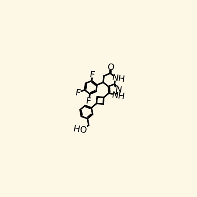 O=C1CC(c2cc(F)c(F)cc2F)c2c(n[nH]c2C2CC(c3cccc(CO)c3)C2)N1